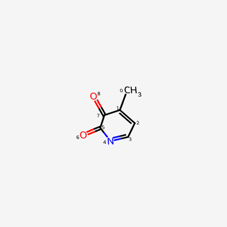 CC1=CC=NC(=O)C1=O